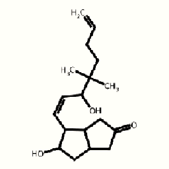 C=CCCC(C)(C)C(O)/C=C\C1C(O)CC2CC(=O)CC21